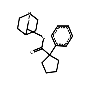 O=C(OC1CN2CCC1CC2)C1(c2ccccc2)CCCC1